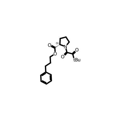 CC(C)(C)C(=O)C(=O)N1CCC[C@H]1C(=O)OCCCc1ccccc1